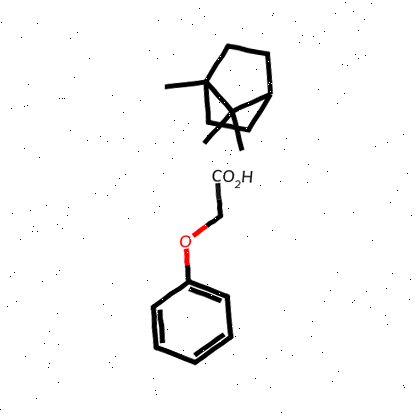 CC12CCC(CC1)C2(C)C.O=C(O)COc1ccccc1